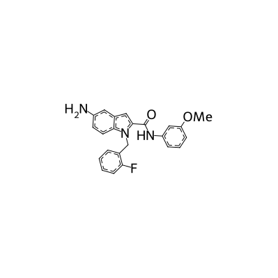 COc1cccc(NC(=O)c2cc3cc(N)ccc3n2Cc2ccccc2F)c1